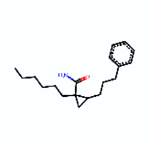 CCCCCCC1(C(N)=O)CC1CCCc1ccccc1